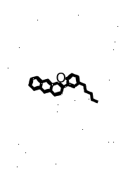 CCCCCc1ccc2oc3c4cc5ccccc5cc4ccc3c2c1